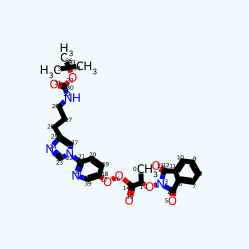 CC(ON1C(=O)c2ccccc2C1=O)C(=O)OOc1ccc(-n2cnc(CCCNC(=O)OC(C)(C)C)c2)nc1